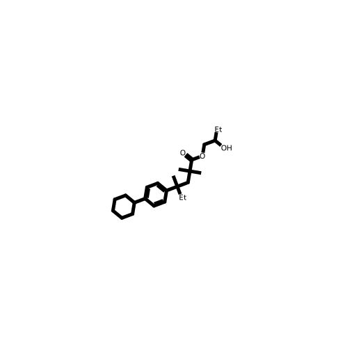 CCC(O)COC(=O)C(C)(C)CC(C)(CC)c1ccc(C2CCCCC2)cc1